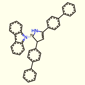 C1=C(c2ccc(-c3ccccc3)cc2)N[C@@H](n2c3ccccc3c3ccccc32)C1c1ccc(-c2ccccc2)cc1